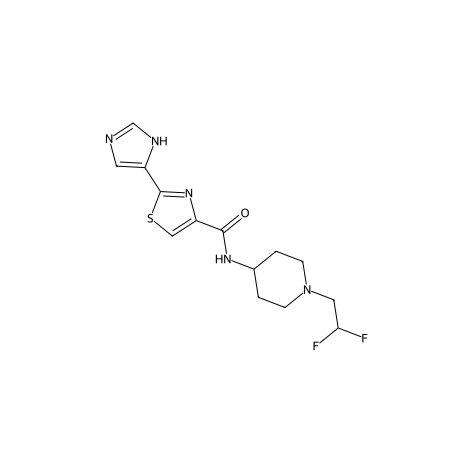 O=C(NC1CCN(CC(F)F)CC1)c1csc(-c2cnc[nH]2)n1